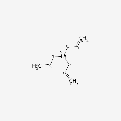 C=C[CH2][La]([CH2]C=C)[CH2]C=C